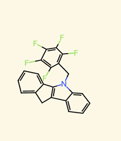 Fc1c(F)c(F)c(Cn2c3c(c4ccccc42)Cc2ccccc2-3)c(F)c1F